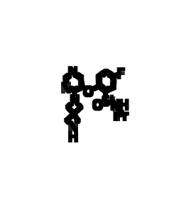 CC(C)N[S+]([O-])c1cc(F)ccc1Oc1cncnc1N1CC2(CNC2)C1